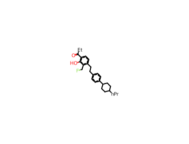 CCCC1CCC(c2ccc(CCc3ccc(C(=O)CC)c(O)c3CF)cc2)CC1